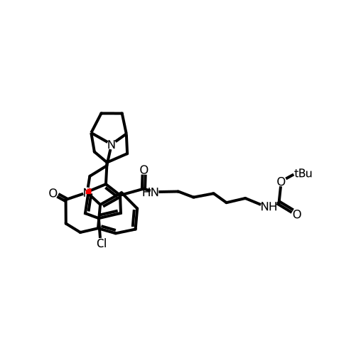 CC(C)(C)OC(=O)NCCCCCNC(=O)c1cc(Cl)ccc1C1CC2CCC(C1)N2CCN1C(=O)CCc2ccccc21